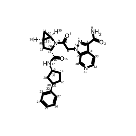 NC(=O)c1nn(CC(=O)N2[C@@H]3C[C@@H]3C[C@H]2C(=O)N[C@H]2CC[C@@H](c3ccccc3)C2)c2cnccc12